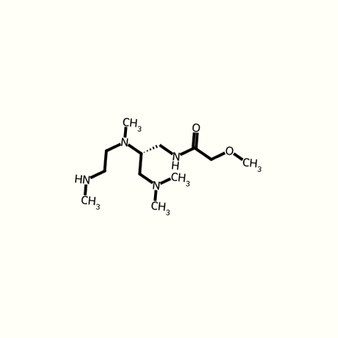 CNCCN(C)[C@H](CNC(=O)COC)CN(C)C